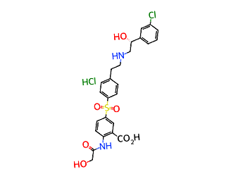 Cl.O=C(CO)Nc1ccc(S(=O)(=O)c2ccc(CCNC[C@H](O)c3cccc(Cl)c3)cc2)cc1C(=O)O